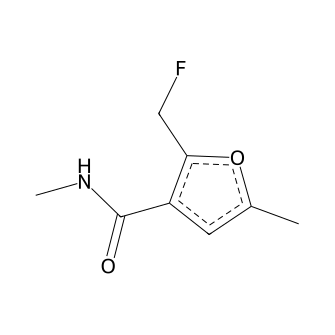 CNC(=O)c1cc(C)oc1CF